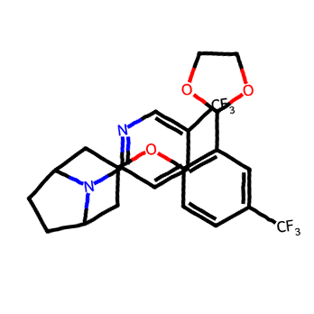 FC(F)(F)c1ccc(N2C3CCC2CC(Oc2ccc(C(F)(F)F)cc2C2OCCO2)C3)nc1